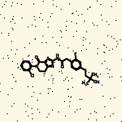 CC(C)(O)CSc1ccc(CC(=O)Nc2nc3c(s2)C(=O)N(c2ccccc2Cl)CC3)c(F)c1